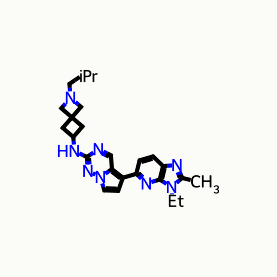 CCn1c(C)nc2ccc(-c3ccn4nc(NC5CC6(C5)CN(CC(C)C)C6)ncc34)nc21